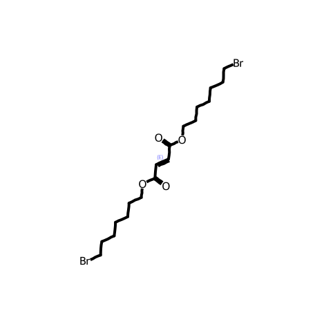 O=C(/C=C/C(=O)OCCCCCCCBr)OCCCCCCCBr